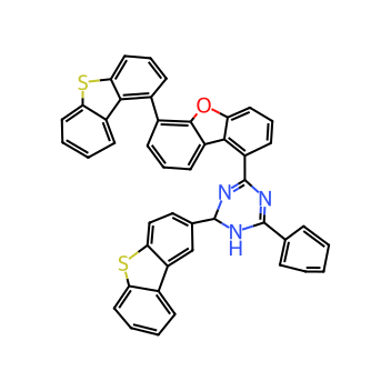 c1ccc(C2=NC(c3cccc4oc5c(-c6cccc7sc8ccccc8c67)cccc5c34)=NC(c3ccc4sc5ccccc5c4c3)N2)cc1